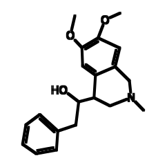 COc1cc2c(cc1OC)C(C(O)Cc1ccccc1)CN(C)C2